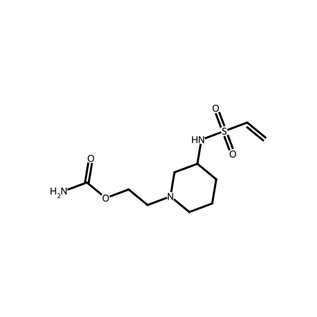 C=CS(=O)(=O)NC1CCCN(CCOC(N)=O)C1